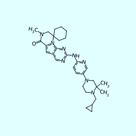 CN1CC2(CCCCC2)n2c(cc3cnc(Nc4ccc(N5CCN(CC6CC6)C(C)(C)C5)cn4)nc32)C1=O